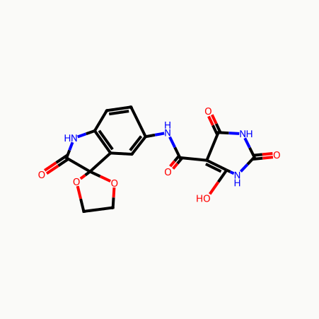 O=C(Nc1ccc2c(c1)C1(OCCO1)C(=O)N2)c1c(O)[nH]c(=O)[nH]c1=O